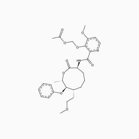 COCC[C@H]1CCC[C@H](NC(=O)c2nccc(OC)c2OCOC(C)=O)C(=O)O[C@@H](C)[C@@H]1Oc1ccccc1